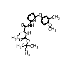 CC[C@@H](NC(=O)OC(C)(C)C)C(=O)Nc1cccc(Oc2ccc(OC)c(C)c2)n1